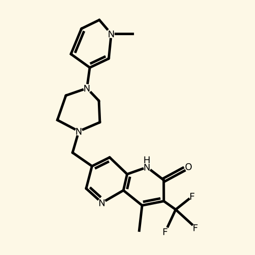 Cc1c(C(F)(F)F)c(=O)[nH]c2cc(CN3CCN(C4=CN(C)CC=C4)CC3)cnc12